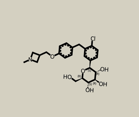 CN1CC(COc2ccc(Cc3cc([C@@H]4O[C@H](CO)[C@@H](O)[C@H](O)[C@H]4O)ccc3Cl)cc2)C1